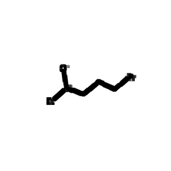 CC[S+]([O-])CCCC(C)C